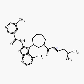 Cc1cncc(C(=O)Nc2nc3cccc(C)c3n2C2CCCCN(C(=O)/C=C/CN(C)C)C2)c1